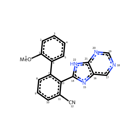 COc1ccccc1-c1cccc(C#N)c1-c1nc2cncnc2[nH]1